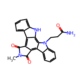 CN1C(=O)c2c(c3c4ccccc4n(CCC(N)=O)c3c3[nH]c4ccccc4c23)C1=O